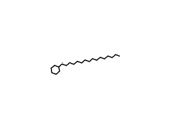 CCCCCCCCCCCCCCC[CH]C1CCCCC1